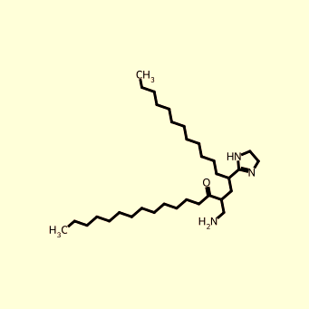 CCCCCCCCCCCCCC(=O)C(CN)CC(CCCCCCCCCCCC)C1=NCCN1